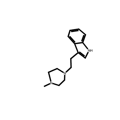 CN1CCN(CCc2c[nH]c3ccccc23)CC1